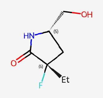 CC[C@]1(F)C[C@@H](CO)NC1=O